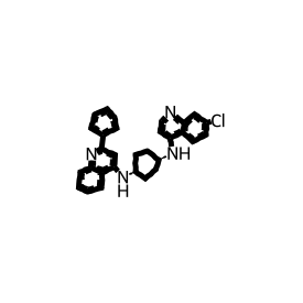 Clc1ccc2c(N[C@H]3CC[C@@H](Nc4cc(-c5ccccc5)nc5ccccc45)CC3)ccnc2c1